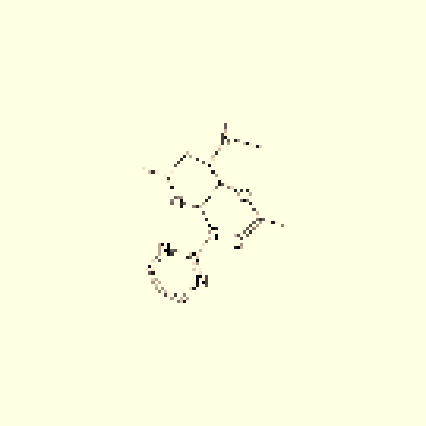 CC(=O)OC1C(Sc2ncccn2)OC(C)CC1N(C)C